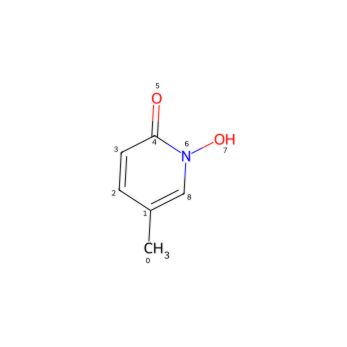 Cc1ccc(=O)n(O)c1